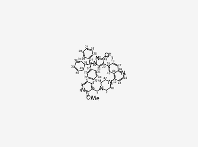 COc1ncccc1CN1CCN(c2ccnc3ccc(-c4cn(C(c5ccccc5)(c5ccccc5)C5C=CC=CC5)nc4C(F)(F)F)cc23)CC1